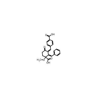 COC1(C(=O)O)CCC(=O)C(=Cc2ccc(C(=O)O)cc2)C1=Cc1ccccc1